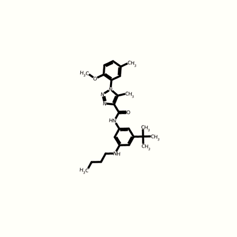 CCCCNc1cc(NC(=O)c2nnn(-c3cc(C)ccc3OC)c2C)cc(C(C)(C)C)c1